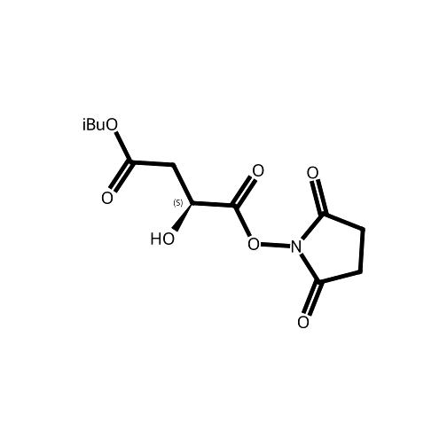 CC(C)COC(=O)C[C@H](O)C(=O)ON1C(=O)CCC1=O